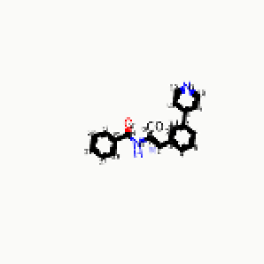 O=C(O)/C(=C\c1cccc(-c2ccncc2)c1)NC(=O)c1ccccc1